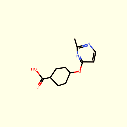 Cc1nccc(OC2CCC(C(=O)O)CC2)n1